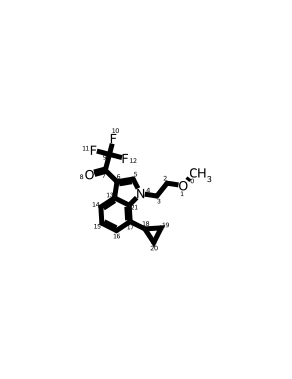 COCCn1cc(C(=O)C(F)(F)F)c2cccc(C3CC3)c21